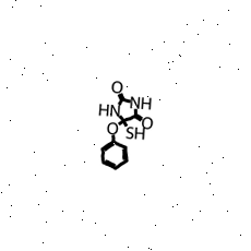 O=C1NC(=O)C(S)(Oc2ccccc2)N1